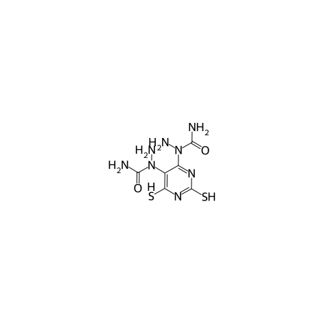 NC(=O)N(N)c1nc(S)nc(S)c1N(N)C(N)=O